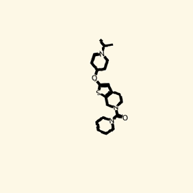 CC(C)N1CCC(Oc2cc3c(s2)CN(C(=O)N2CCCCC2)CC3)CC1